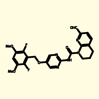 COc1cc(OC)c(F)c(COc2cnc(NC(=O)N3CCCc4ccc(C=O)nc43)nc2)c1F